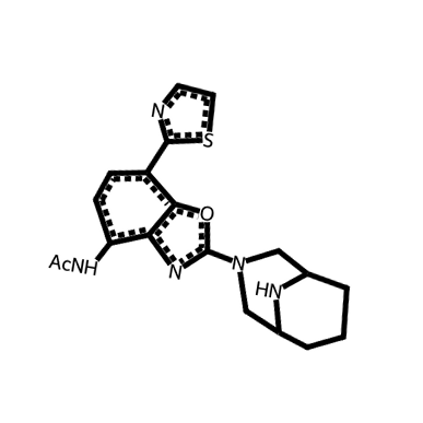 CC(=O)Nc1ccc(-c2nccs2)c2oc(N3CC4CCCC(C3)N4)nc12